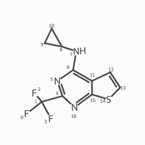 FC(F)(F)c1nc(NC2CC2)c2ccsc2n1